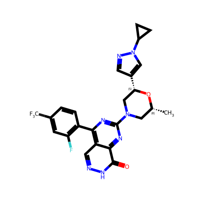 C[C@@H]1CN(c2nc(-c3ccc(C(F)(F)F)cc3F)c3cn[nH]c(=O)c3n2)C[C@H](c2cnn(C3CC3)c2)O1